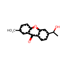 CC(O)c1ccc2c(=O)c3cc(C(=O)O)ccc3oc2c1